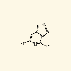 CCc1cc2cncn2c(C(C)C)n1